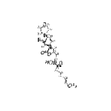 CCCCCCC(=O)N(O)CC1CN(c2ccc(N3CCOCC3)c(F)c2)C(=O)O1